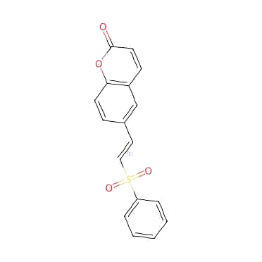 O=c1ccc2cc(/C=C/S(=O)(=O)c3ccccc3)ccc2o1